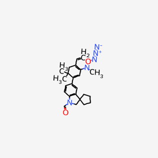 C=CC1=C(N(C)ON=[N+]=[N-])C=C(c2ccc3c(c2)C2(CCCC2)CN3C=O)C(C)(C)C1